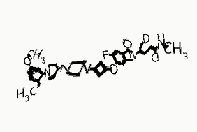 CCc1ccc(OC)cc1N1CCC(N2CCN(C3CC(Oc4cc5c(cc4F)C(=O)N(C(C=O)CCC(=O)NC)C5)C3)CC2)CC1